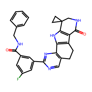 O=C(NCc1ccccc1)c1cc(F)cc(-c2ncc3c(n2)-c2[nH]c4c(c2CC3)C(=O)NCC42CC2)c1